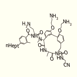 CCCCCCCc1ccc(C(=O)NC(CCN)C(=O)N(C)C2C(=O)NC(C)C(=O)NC(C(=O)NCC#N)Cc3ccc(OCCN)c(c3)-c3cc2ccc3OCCN)c(C)c1